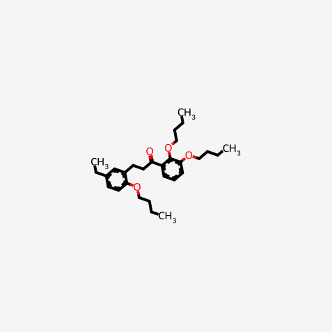 CCCCOc1ccc(CC)cc1CCC(=O)c1cccc(OCCCC)c1OCCCC